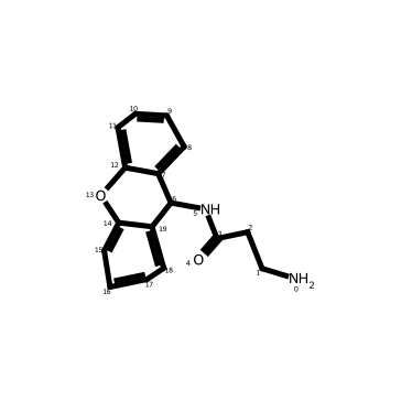 NCCC(=O)NC1c2ccccc2Oc2ccccc21